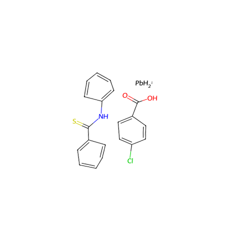 O=C(O)c1ccc(Cl)cc1.S=C(Nc1ccccc1)c1ccccc1.[PbH2]